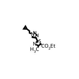 CCOC(=O)C1SC(c2cn(CCC3CC3)nn2)=NC1C